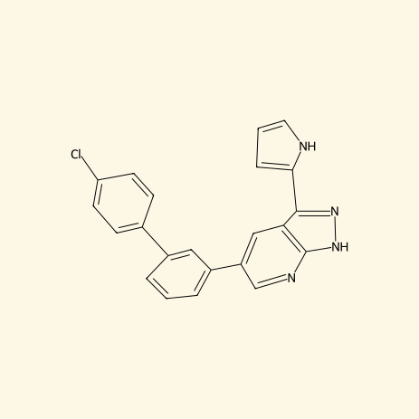 Clc1ccc(-c2cccc(-c3cnc4[nH]nc(-c5ccc[nH]5)c4c3)c2)cc1